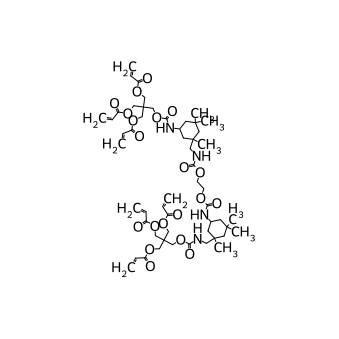 C=CC(=O)OCC(COC(=O)C=C)(COC(=O)C=C)COC(=O)NCC1(C)CC(NC(=O)OCCOC(=O)NCC2(C)CC(NC(=O)OCC(COC(=O)C=C)(COC(=O)C=C)COC(=O)C=C)CC(C)(C)C2)CC(C)(C)C1